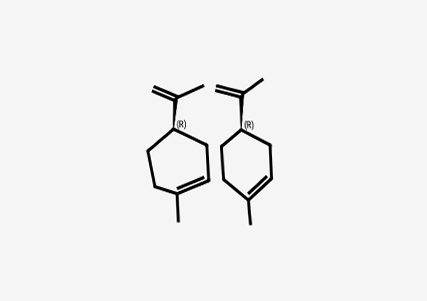 C=C(C)[C@H]1CC=C(C)CC1.C=C(C)[C@H]1CC=C(C)CC1